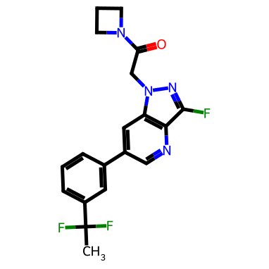 CC(F)(F)c1cccc(-c2cnc3c(F)nn(CC(=O)N4CCC4)c3c2)c1